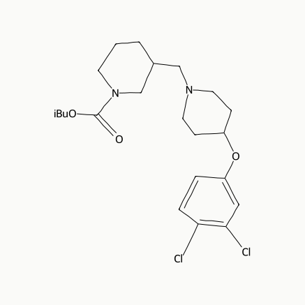 CC(C)COC(=O)N1CCCC(CN2CCC(Oc3ccc(Cl)c(Cl)c3)CC2)C1